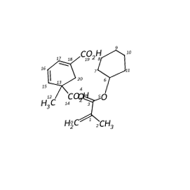 C=C(C)C(=O)OC1CCCCC1.CC1(C(=O)O)C=CC=C(C(=O)O)C1